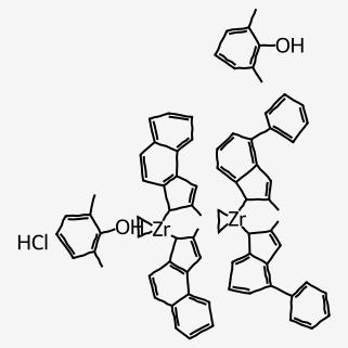 CC1=Cc2c(-c3ccccc3)cccc2[CH]1[Zr]1([CH]2C(C)=Cc3c(-c4ccccc4)cccc32)[CH2][CH2]1.CC1=Cc2c(ccc3ccccc23)[CH]1[Zr]1([CH]2C(C)=Cc3c2ccc2ccccc32)[CH2][CH2]1.Cc1cccc(C)c1O.Cc1cccc(C)c1O.Cl